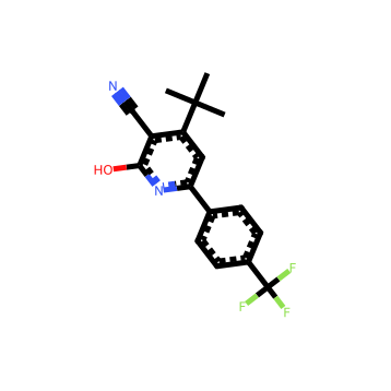 CC(C)(C)c1cc(-c2ccc(C(F)(F)F)cc2)nc(O)c1C#N